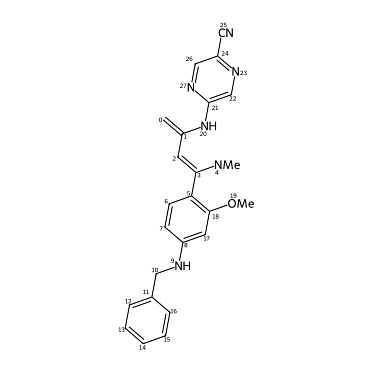 C=C(/C=C(\NC)c1ccc(NCc2ccccc2)cc1OC)Nc1cnc(C#N)cn1